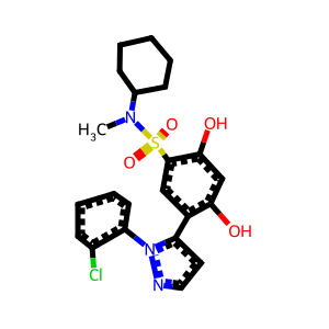 CN(C1CCCCC1)S(=O)(=O)c1cc(-c2ccnn2-c2ccccc2Cl)c(O)cc1O